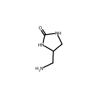 NCC1CNC(=O)N1